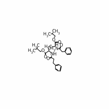 CC(C)COC(=O)C(C)NC(=O)CCc1ccccc1.CC(C)COC(=O)C(C)NC(=O)Cc1ccccc1